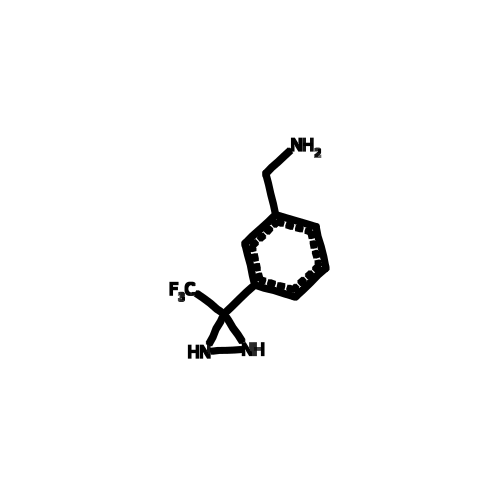 NCc1cccc(C2(C(F)(F)F)NN2)c1